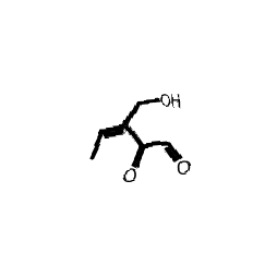 CC=C(CO)C(=O)C=O